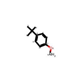 CC(C)(C)c1ccc([O][AlH2])cc1